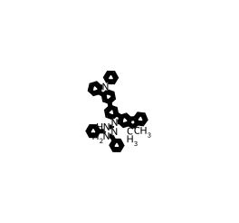 CC1(C)c2ccccc2-c2cc3c4cc(-c5ccc6c(c5)c5ccccc5n6-c5ccccc5)ccc4n(C(/N=C(\N)c4ccccc4)NCc4ccccc4)c3cc21